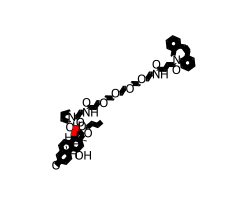 CCCC1O[C@@H]2C[C@H]3[C@@H]4CCC5=CC(=O)C=C[C@]5(C)[C@H]4[C@@H](O)C[C@]3(C)[C@]2(C(=O)COC2CCCN2C(=O)CNC(=O)CCOCCOCCOCCOCCNC(=O)CCC(=O)N2Cc3ccccc3C#Cc3ccccc32)O1